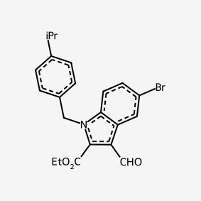 CCOC(=O)c1c(C=O)c2cc(Br)ccc2n1Cc1ccc(C(C)C)cc1